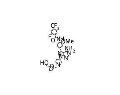 COc1cc(-c2nn(C3CCN(Cc4ccc(CO)o4)CC3)c3ncnc(N)c23)ccc1NC(=O)c1ccc(C(F)(F)F)cc1F